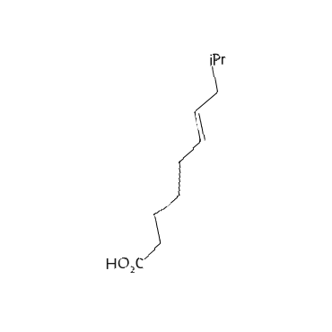 CC(C)CC=CCCCCC(=O)O